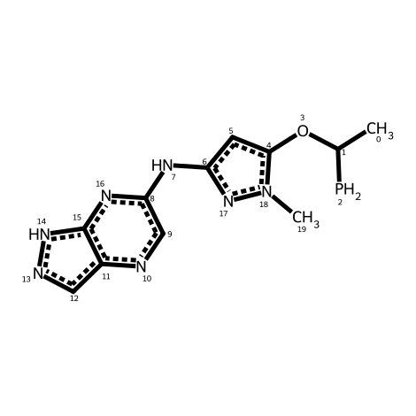 CC(P)Oc1cc(Nc2cnc3cn[nH]c3n2)nn1C